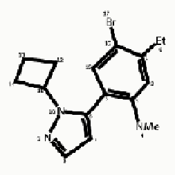 CCc1cc(NC)c(-c2ccnn2C2CCC2)cc1Br